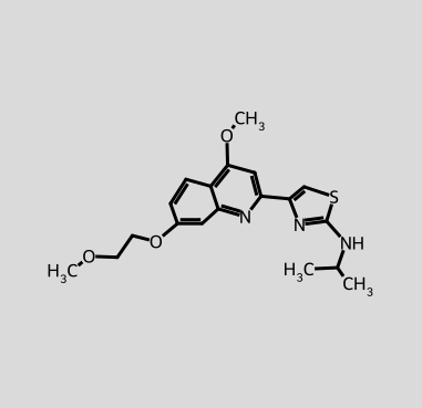 COCCOc1ccc2c(OC)cc(-c3csc(NC(C)C)n3)nc2c1